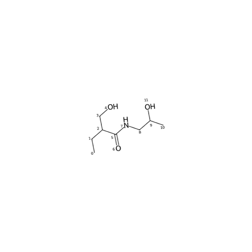 CCC(CO)C(=O)NCC(C)O